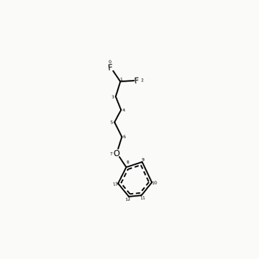 FC(F)CCCCOc1ccccc1